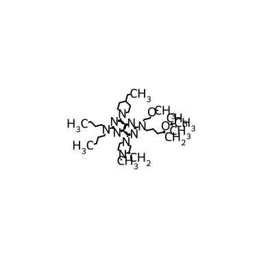 C=C(CCCN(CCOC)c1nc(N2CCN(C)C(=C)C2)c2nc(N(CCCC)CCCC)nc(N3CCC(CC)CC3)c2n1)OC(C)(C)C